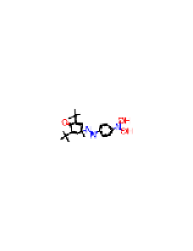 CC1(N=Nc2ccc(N(O)O)cc2)C=C(C(C)(C)C)C(=O)C(C(C)(C)C)=C1